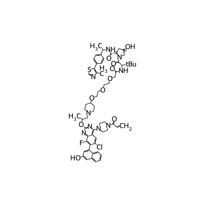 C=CC(=O)N1CCN(c2nc(OC(C)CN3CCC(OCCOCCOCC(=O)NC(C(=O)N4C[C@H](O)C[C@H]4C(=O)NC(C)c4ccc(-c5scnc5C)cc4)C(C)(C)C)CC3)nc3c(F)c(-c4cc(O)cc5ccccc45)c(Cl)cc23)CC1